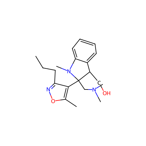 CCCc1noc(C)c1C1(CN(C)C)C(CO)c2ccccc2N1C